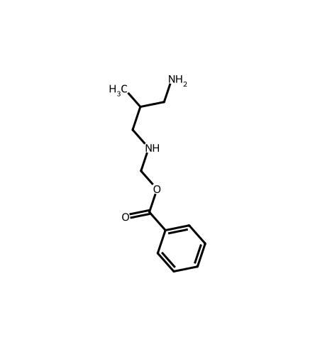 CC(CN)CNCOC(=O)c1ccccc1